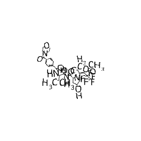 CC(=O)O/C(=C(\C(C)C)N1C[C@H](O)C[C@H]1C(=O)NC(=O)[C@@H](NC(=O)c1ccc(C(=O)N2CCOCC2)cc1)C(C)C)C(F)(F)C(F)(F)F